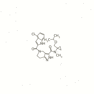 CC(C)OCC1(N(C)C(=O)c2[nH]nc3c2CN(C(=O)c2cc4c(Cl)cccc4[nH]2)CC3)CC1